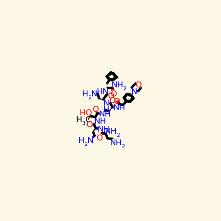 C[C@@H](O)[C@H](NC(=O)[C@H](CCN)NC(=O)[C@@H](N)CCN)C(=O)NCC[C@H](NC(=O)Cc1ccc(N2CCOCC2)cc1)C(=O)N[C@@H](CCN)C(=O)N[C@H](Cc1ccccc1)C(N)=O